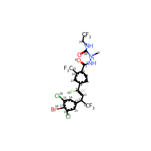 CN(NC(=O)c1ccc(/C(F)=C/C(c2cc(Cl)c(Br)c(Cl)c2)C(F)(F)F)cc1C(F)(F)F)C(=O)NCC(F)(F)F